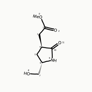 COC(=O)C[C@@H]1C[C@@H](CO)NC1=O